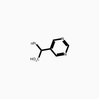 CCCC(C(=O)O)c1cncnc1